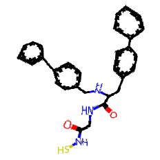 O=C(CNC(=O)C(Cc1ccc(-c2ccccc2)cc1)NCc1ccc(-c2ccccc2)cc1)NS